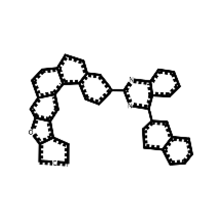 c1ccc2cc(-c3nc(-c4ccc5c(ccc6ccc7cc8oc9ccccc9c8cc7c65)c4)nc4ccccc34)ccc2c1